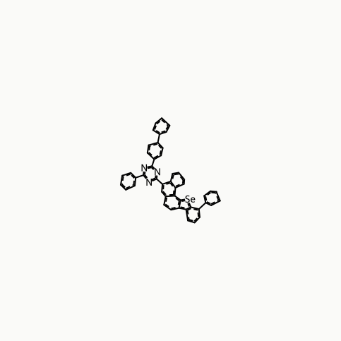 c1ccc(-c2ccc(-c3nc(-c4ccccc4)nc(-c4cc5ccc6c7cccc(-c8ccccc8)c7[se]c6c5c5ccccc45)n3)cc2)cc1